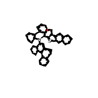 c1ccc(-c2ccccc2N(c2cc3ccc4ccccc4c3c3ccccc23)c2cccc3c2sc2cc4ccccc4cc23)cc1